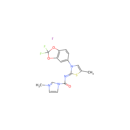 Cc1cn(-c2ccc3c(c2)OC(F)(F)O3)c(=NC(=O)n2cc[n+](C)c2)s1.[I-]